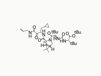 C=CCNC(=O)C(=O)C(CC1CC1)NC(=O)[C@@H]1[C@@H]2[C@H](CN1C(=O)[C@@H](NC(=O)NC(C(=O)OC(C)(C)C)C(C)(C)C)C(C)(C)C)C2(C)C